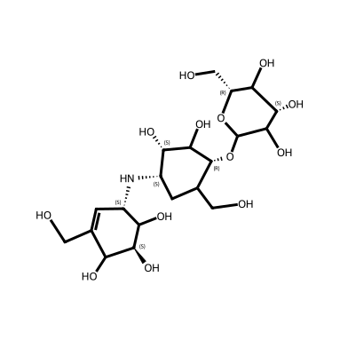 OCC1=C[C@H](N[C@H]2CC(CO)[C@@H](OC3O[C@H](CO)C(O)[C@H](O)C3O)C(O)[C@H]2O)C(O)[C@@H](O)C1O